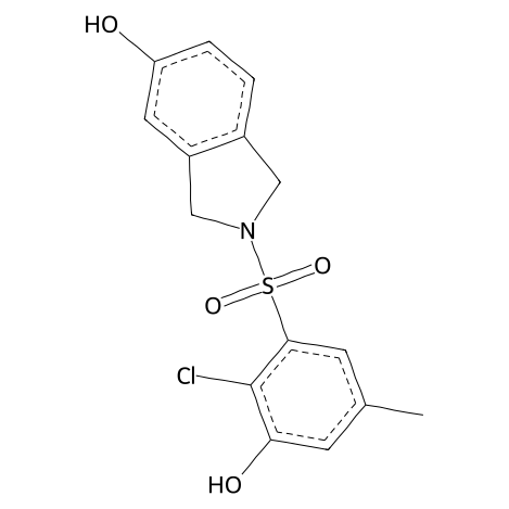 Cc1cc(O)c(Cl)c(S(=O)(=O)N2Cc3ccc(O)cc3C2)c1